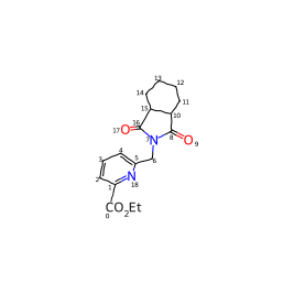 CCOC(=O)c1cccc(CN2C(=O)C3CCCCC3C2=O)n1